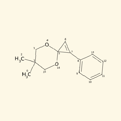 CC1(C)COC2(C=C2c2ccccc2)OC1